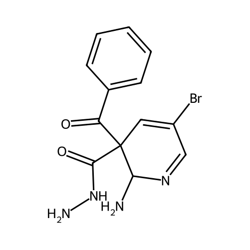 NNC(=O)C1(C(=O)c2ccccc2)C=C(Br)C=NC1N